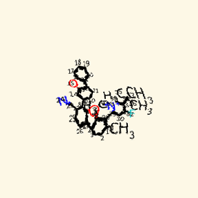 Cc1ccc2c(oc3c(-c4ccc5c(c4)oc4ccccc45)c(C#N)ccc32)c1-c1cc(F)c(C(C)(C)C)c[n+]1C